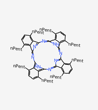 CCCCCc1ccc(CCCCC)c2c1-c1nc-2nc2[nH]c(nc3nc(nc4[nH]c(n1)c1c(CCCCC)ccc(CCCCC)c41)-c1c(CCCCC)ccc(CCCCC)c1-3)c1c(CCCCC)ccc(CCCCC)c21